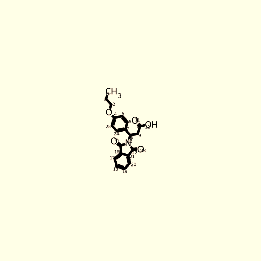 CCCOc1ccc(C(CC(=O)O)N2C(=O)c3ccccc3C2=O)cc1